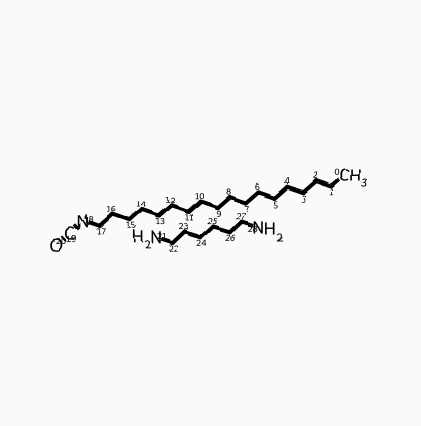 CCCCCCCCCCCCCCCCCCN=C=O.NCCCCCCN